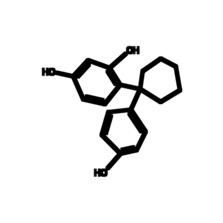 Oc1ccc(C2(c3ccc(O)cc3O)CCCCC2)cc1